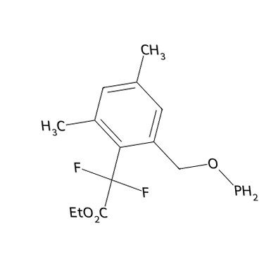 CCOC(=O)C(F)(F)c1c(C)cc(C)cc1COP